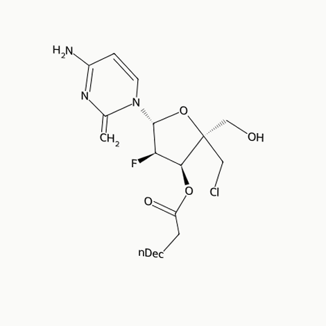 C=C1N=C(N)C=CN1[C@@H]1O[C@@](CO)(CCl)[C@@H](OC(=O)CCCCCCCCCCC)[C@H]1F